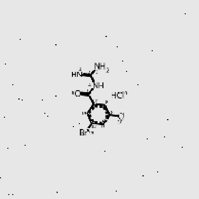 Cl.N=C(N)NC(=O)c1cc(Cl)cc(Br)c1